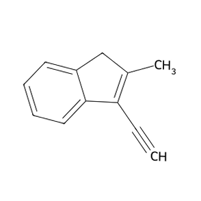 C#CC1=C(C)Cc2ccccc21